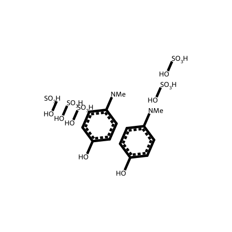 CNc1ccc(O)cc1.CNc1ccc(O)cc1.O=S(=O)(O)O.O=S(=O)(O)O.O=S(=O)(O)O.O=S(=O)(O)O.O=S(=O)(O)O